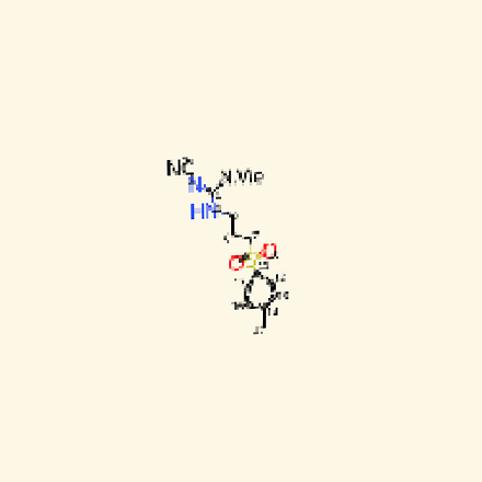 CN/C(=N\C#N)NCCCS(=O)(=O)c1ccc(C)cc1